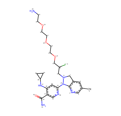 N#Cc1cnc2c(c1)CN(CC(F)COCCOCCOCCN)N2c1cc(NC2CC2)c(C(N)=O)cn1